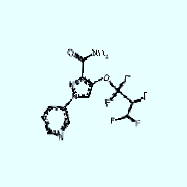 NC(=O)c1nn(-c2cccnc2)cc1OC(F)(F)C(F)C(F)F